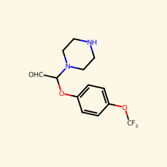 O=CC(Oc1ccc(OC(F)(F)F)cc1)N1CCNCC1